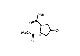 COC(=O)[C@H]1CC(=O)CN1C(=O)OC